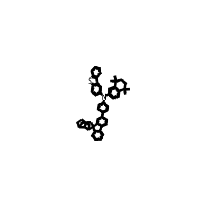 CC1(C)CCC(C)(C)c2cc(N(c3ccc(-c4ccc5c(c4)C4(c6ccccc6-5)C5CC6CC7CC4C6C75)cc3)c3ccc4sc5ccccc5c4c3)ccc21